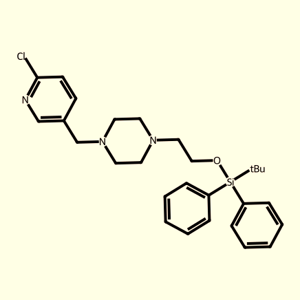 CC(C)(C)[Si](OCCN1CCN(Cc2ccc(Cl)nc2)CC1)(c1ccccc1)c1ccccc1